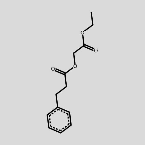 CCOC(=O)COC(=O)CCc1[c]cccc1